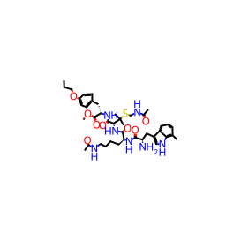 CCCOc1ccc(C[C@H](NC(=O)[C@@H](NC(=O)[C@H](CCCCNC(C)=O)NC(=O)[C@@H](N)Cc2c[nH]c3c(C)cccc23)C(C)(C)SCNC(C)=O)C(=O)OC)cc1